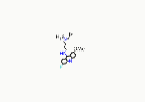 COc1ccc2nc3cc(F)ccc3c(NCCCCN(C)CC3CC3)c2c1